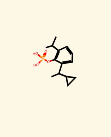 CC(C)c1cccc(C(C)C2CC2)c1OP(=O)(O)O